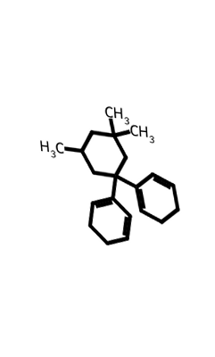 CC1CC(C)(C)CC(C2=CCCC=C2)(C2=CCCC=C2)C1